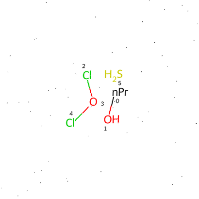 CCCO.ClOCl.S